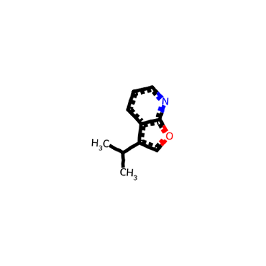 CC(C)c1coc2ncccc12